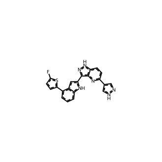 Fc1ccc(-c2cccc3[nH]c(-c4n[nH]c5ccc(-c6cn[nH]c6)nc45)cc23)s1